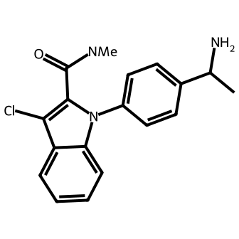 CNC(=O)c1c(Cl)c2ccccc2n1-c1ccc(C(C)N)cc1